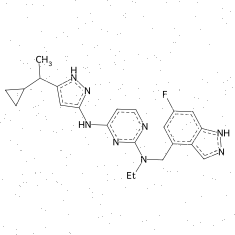 CCN(Cc1cc(F)cc2[nH]ncc12)c1nccc(Nc2cc(C(C)C3CC3)[nH]n2)n1